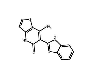 Nc1c(-c2nc3ccccc3[nH]2)c(=O)[nH]c2ccsc12